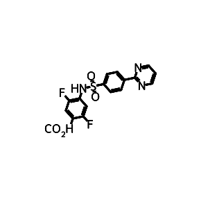 O=C(O)c1cc(F)c(NS(=O)(=O)c2ccc(-c3ncccn3)cc2)cc1F